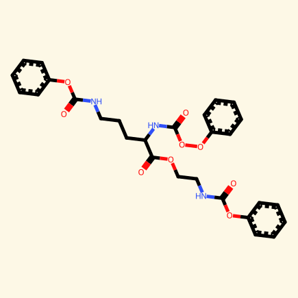 O=C(NC(CCCNC(=O)Oc1ccccc1)C(=O)OCCNC(=O)Oc1ccccc1)OOc1ccccc1